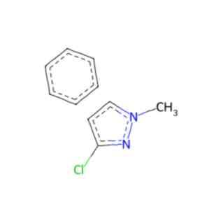 Cn1ccc(Cl)n1.c1ccccc1